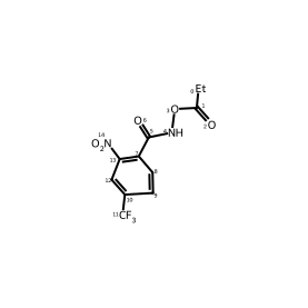 CCC(=O)ONC(=O)c1ccc(C(F)(F)F)cc1[N+](=O)[O-]